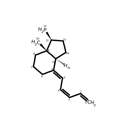 C=C/C=C\C=C1/CCC[C@]2(C)[C@@H](P)CC[C@@H]12